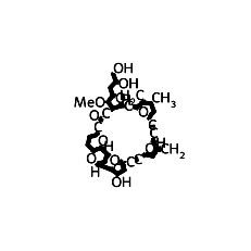 C=C1C2C[C@@H]3OC(CC(O)CO)[C@H](OC)C3CC(=O)CC3CCC4O[C@@H]5CC(O[C@@]6(CCC7CC(=C)[C@H](CCC(C[C@H]1C)O2)O7)C[C@@H](O)C5O6)[C@H]4O3